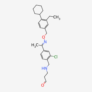 CCc1cc(CO/N=C(\C)c2ccc(CNCCC=O)c(Cl)c2)ccc1C1CCCCC1